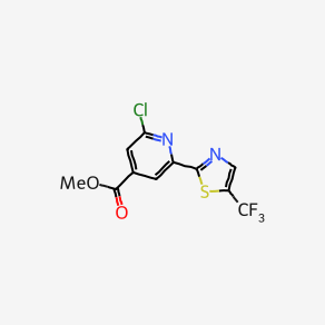 COC(=O)c1cc(Cl)nc(-c2ncc(C(F)(F)F)s2)c1